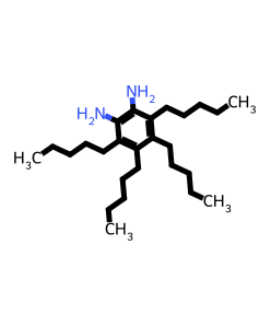 CCCCCc1c(N)c(N)c(CCCCC)c(CCCCC)c1CCCCC